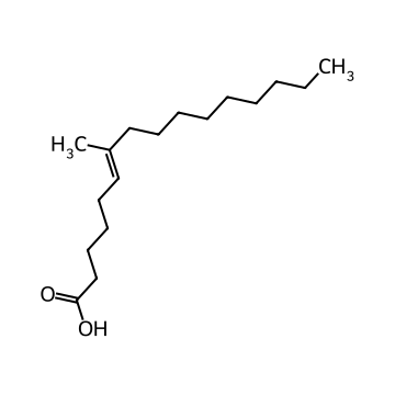 CCCCCCCCCC(C)=CCCCCC(=O)O